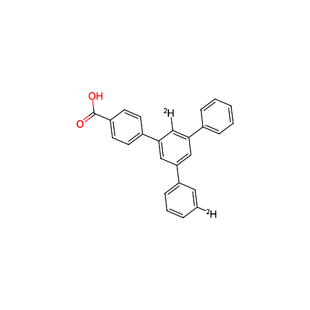 [2H]c1cccc(-c2cc(-c3ccccc3)c([2H])c(-c3ccc(C(=O)O)cc3)c2)c1